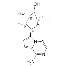 CC[C@]12O[C@@H](c3ccc4c(N)ncnn34)[C@H](F)[C@@]1(O)C2O